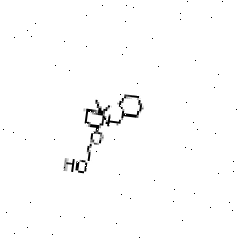 CC1(C)CC[C@H](OCCO)N1CC1CCCCC1